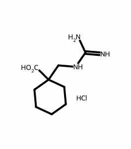 Cl.N=C(N)NCC1(C(=O)O)CCCCC1